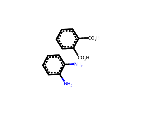 Nc1ccccc1N.O=C(O)c1ccccc1C(=O)O